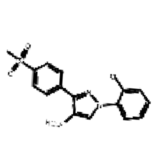 CS(=O)(=O)c1ccc(-c2nn(-c3ccccc3Cl)cc2C(=O)O)cc1